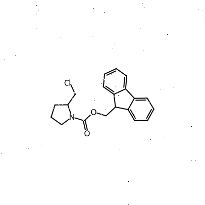 O=C(OCC1c2ccccc2-c2ccccc21)N1CCCC1CCl